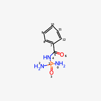 NP(N)(=O)NC(=O)c1ccccc1